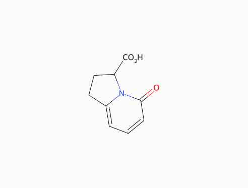 O=C(O)C1CCc2cccc(=O)n21